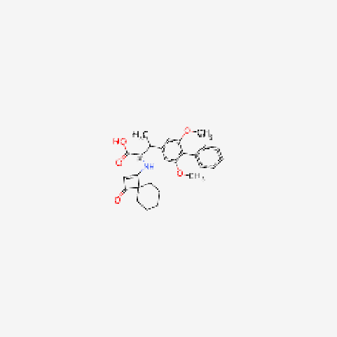 COc1cc(C(C)[C@H](NC2=CC(=O)C23CCCCC3)C(=O)O)cc(OC)c1-c1ccccc1